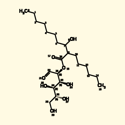 CCCCCCCC(O)C(CCCCCC)C(=O)O[C@H](C=O)[C@@H](O)[C@H](O)[C@H](O)CO